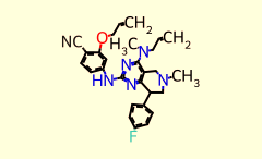 C=CCOc1cc(Nc2nc3c(c(N(C)CC=C)n2)CN(C)CC3c2ccc(F)cc2)ccc1C#N